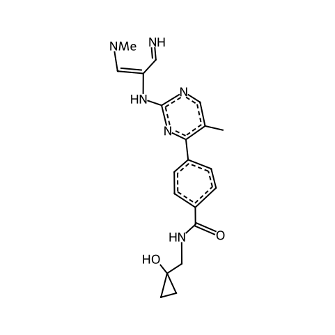 CN/C=C(\C=N)Nc1ncc(C)c(-c2ccc(C(=O)NCC3(O)CC3)cc2)n1